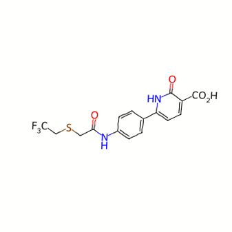 O=C(CSCC(F)(F)F)Nc1ccc(-c2ccc(C(=O)O)c(=O)[nH]2)cc1